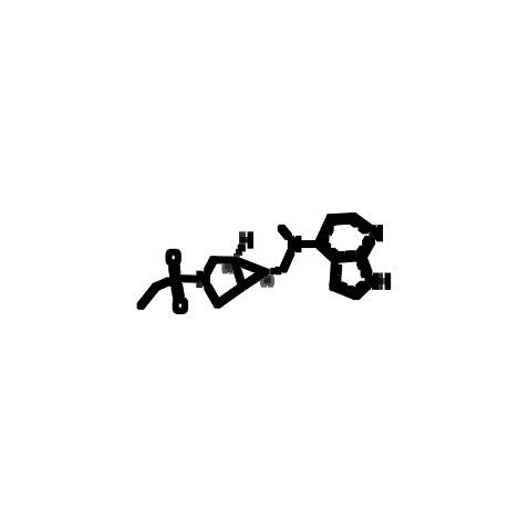 CCS(=O)(=O)N1CC2[C@@H](CN(C)c3ccnc4[nH]ccc34)[C@@H]2C1